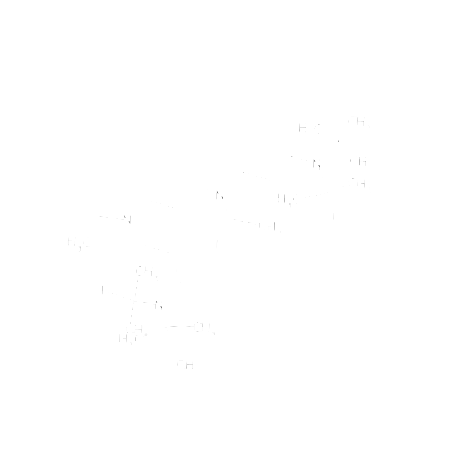 CCN(CCCN(CCCN(C(C)(C)C)C(C)(C)I)C(C)I)CCCN(C(C)(C)C)C(C)(C)I